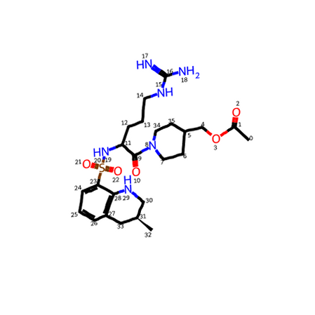 CC(=O)OCC1CCN(C(=O)C(CCCNC(=N)N)NS(=O)(=O)c2cccc3c2NC[C@@H](C)C3)CC1